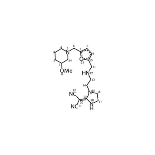 COC1CCCN(Cc2ccc(CNCCN3CCNC3=C(C#N)C#N)o2)C1